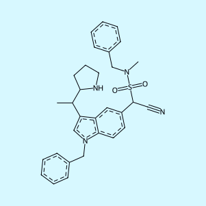 CC(c1cn(Cc2ccccc2)c2ccc(C(C#N)S(=O)(=O)N(C)Cc3ccccc3)cc12)C1CCCN1